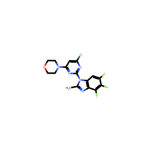 Cc1nc2c(F)c(F)c(F)cc2n1-c1nc(Cl)cc(N2CCOCC2)n1